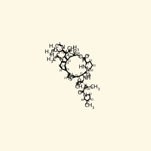 C=C/C(=C(\N=C/C)[C@H](C)OC)c1c2c3cc(ccc3n1CC)-c1csc(n1)[C@@H](OCC)[C@H](NC(=O)[C@@H]1[C@@H](C)[C@H]1C(=O)N1CC[C@@H](C)C1)C(=O)N1CCC[C@H](N1)C(=O)OCC(C)(C)C2